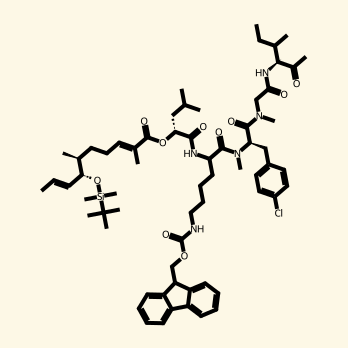 C/C=C/[C@@H](O[Si](C)(C)C(C)(C)C)[C@@H](C)CC/C=C(\C)C(=O)O[C@H](CC(C)C)C(=O)NC(CCCCNC(=O)OCC1c2ccccc2-c2ccccc21)C(=O)N(C)[C@H](Cc1ccc(Cl)cc1)C(=O)N(C)CC(=O)N[C@H](C(C)=O)C(C)CC